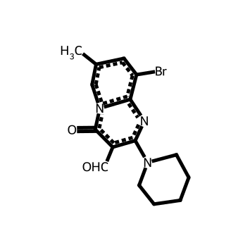 Cc1cc(Br)c2nc(N3CCCCC3)c(C=O)c(=O)n2c1